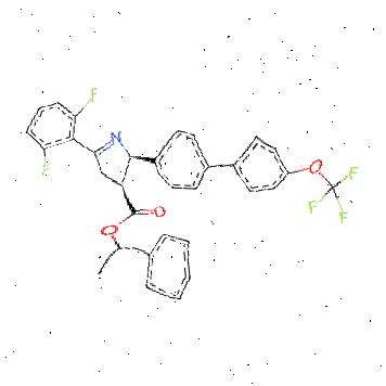 CC(OC(=O)[C@H]1CC(c2c(F)cccc2F)=N[C@H]1c1ccc(-c2ccc(OC(F)(F)F)cc2)cc1)c1ccccc1